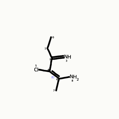 CCC(=N)/C(Cl)=C(/C)N